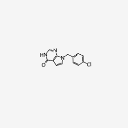 O=c1[nH]cnc2c1ccn2Cc1ccc(Cl)cc1